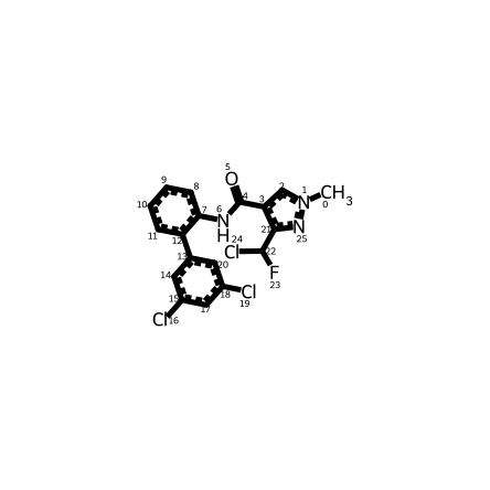 Cn1cc(C(=O)Nc2ccccc2-c2cc(Cl)cc(Cl)c2)c(C(F)Cl)n1